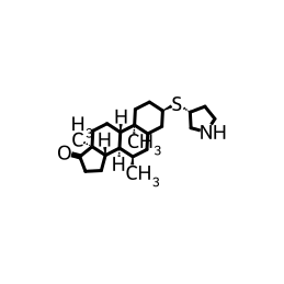 C[C@@H]1CC2C[C@H](S[C@@H]3CCNC3)CC[C@]2(C)[C@H]2CC[C@]3(C)C(=O)CC[C@H]3[C@H]12